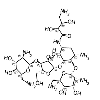 NC[C@@H](O)[C@H](O)C(=O)N[C@@H]1C[C@H](N)[C@@H](O[C@H]2O[C@H](CN)[C@@H](O)[C@@H](O)[C@H]2N)[C@H](O[C@@H]2O[C@H](CO)[C@@H](O[C@H]3O[C@@H](CN)[C@@H](O)[C@H](O)[C@H]3N)[C@H]2O)[C@H]1O